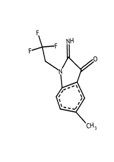 Cc1ccc2c(c1)C(=O)C(=N)N2CC(F)(F)F